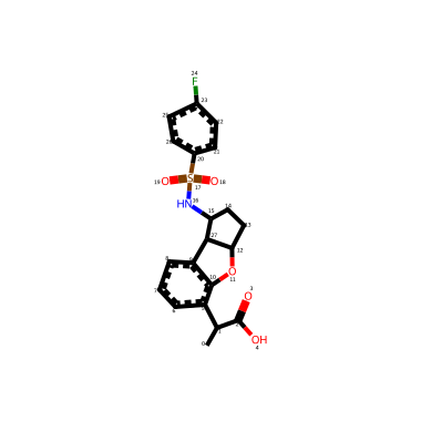 CC(C(=O)O)c1cccc2c1OC1CCC(NS(=O)(=O)c3ccc(F)cc3)C21